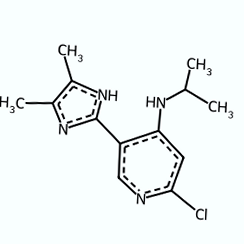 Cc1nc(-c2cnc(Cl)cc2NC(C)C)[nH]c1C